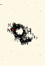 CCC1/C=C(\C)CC(C)CC(OC)C2OC(O)(C(=O)C(=O)N3CCCCC3C(=O)OC(C(C)=CC3CCC(O)C(Oc4ccc5c(ccn5C)c4)C3)C(C)C(O)CC1=O)C(C)CC2OC